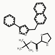 CC(C)(C)OC(=O)C1NCCO1.c1ccc(-c2cc(Cc3ccc4ccccc4c3)on2)cc1